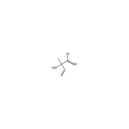 C=CC(C)(O)C(=N)CC